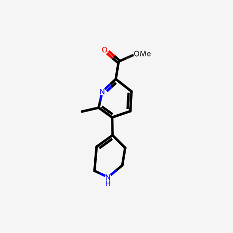 COC(=O)c1ccc(C2=CCNCC2)c(C)n1